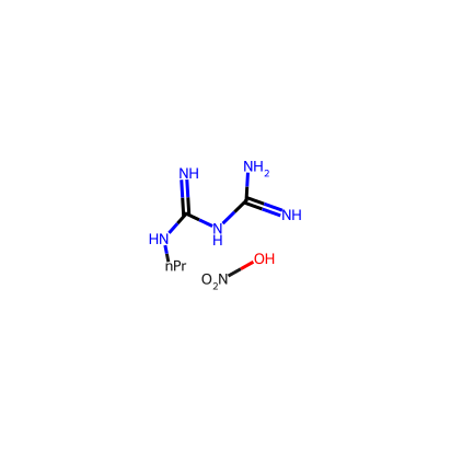 CCCNC(=N)NC(=N)N.O=[N+]([O-])O